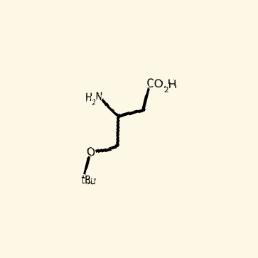 CC(C)(C)OCC(N)CC(=O)O